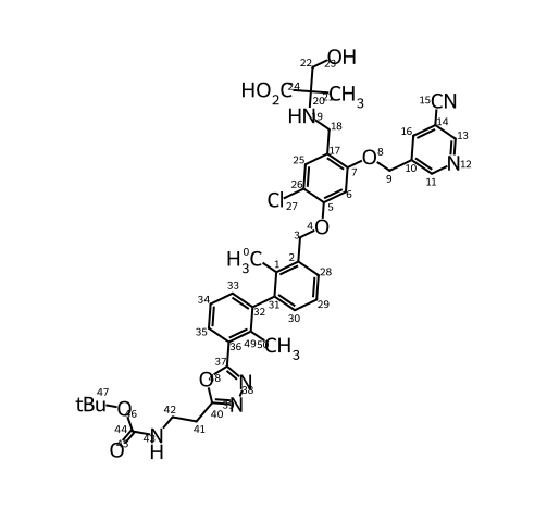 Cc1c(COc2cc(OCc3cncc(C#N)c3)c(CNC(C)(CO)C(=O)O)cc2Cl)cccc1-c1cccc(-c2nnc(CCNC(=O)OC(C)(C)C)o2)c1C